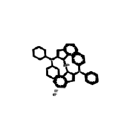 C1=C(P(c2ccccc2)c2ccccc2)[CH]([Hf+2][CH]2C(P(C3CCCCC3)C3CCCCC3)=Cc3ccccc32)c2ccccc21.[Cl-].[Cl-]